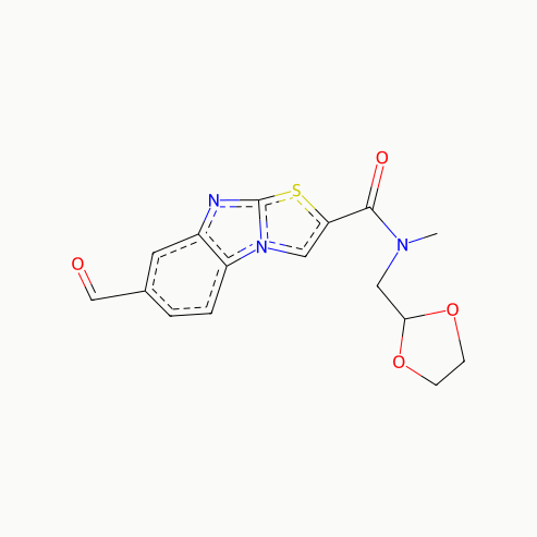 CN(CC1OCCO1)C(=O)c1cn2c(nc3cc(C=O)ccc32)s1